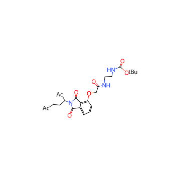 CC(=O)CCC(C(C)=O)N1C(=O)c2cccc(OCC(=O)NCCNC(=O)OC(C)(C)C)c2C1=O